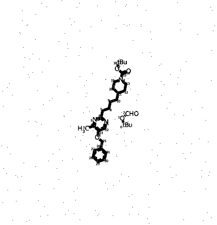 CC(C)(C)OC=O.Cc1nc(CCCCC2CCN(C(=O)OC(C)(C)C)CC2)ncc1OCc1ccccc1